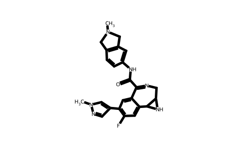 CN1Cc2ccc(NC(=O)C3=NCC4NC4c4cc(F)c(-c5cnn(C)c5)cc43)cc2C1